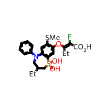 CC/C(Oc1cc2c(cc1SC)N(c1ccccc1)CC(CC)CS2(O)O)=C(/F)C(=O)O